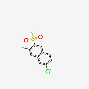 Cc1cc2cc(Cl)ccc2cc1S(C)(=O)=O